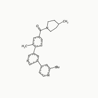 Cc1cc(C(=O)N2CCC(C)CC2)ccc1-c1cncc(-c2ccnc(C(C)(C)C)c2)c1